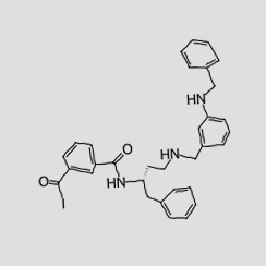 O=C(I)c1cccc(C(=O)N[C@H](CCNCc2cccc(NCc3ccccc3)c2)Cc2ccccc2)c1